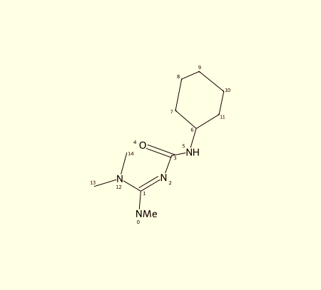 CN/C(=N/C(=O)NC1CCCCC1)N(C)C